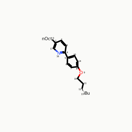 CCCCCCCCc1ccc(-c2ccc(OCCC[C@@H](C)CC)cc2)nc1